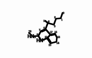 CCCCC(C)C1=CC(NC)NC2=CCCC=C21